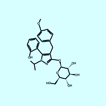 COc1ccc(Cc2c(O[C@@H]3O[C@H](CO)[C@@H](O)[C@H](O)[C@H]3O)nn(C(C)C)c2-c2ccccc2O)cc1